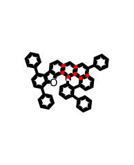 c1ccc(-c2ccc(N(c3cccc(-c4ccccc4)c3-c3ccccc3-c3ccccc3)c3cccc4c3oc3c(-c5ccccc5)ccc(-c5ccccc5)c34)cc2)cc1